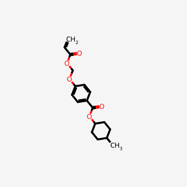 C=CC(=O)OCOc1ccc(C(=O)OC2CCC(C)CC2)cc1